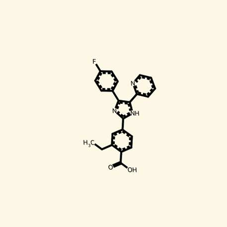 CCc1cc(-c2nc(-c3ccc(F)cc3)c(-c3ccccn3)[nH]2)ccc1C(=O)O